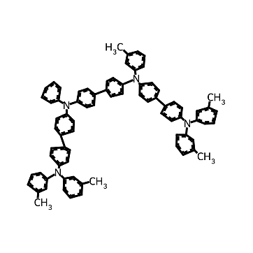 Cc1cccc(N(c2ccc(-c3ccc(N(c4ccccc4)c4ccc(-c5ccc(N(c6cccc(C)c6)c6cccc(C)c6)cc5)cc4)cc3)cc2)c2ccc(-c3ccc(N(c4cccc(C)c4)c4cccc(C)c4)cc3)cc2)c1